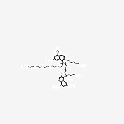 CC[N+]1=C(/C=C/C=C2/N(CCCCCC(=O)O)c3ccc4c(S(=O)(=O)[O-])cc(S(=O)(=O)O)cc4c3C2(C)CCOCCOCCOCCOCCOC)C(C)(CCCS(=O)(=O)O)c2c1ccc1c(S(=O)(=O)O)cc(S(=O)(=O)O)cc21